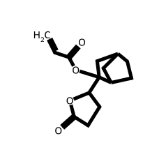 C=CC(=O)OC1(C2CCC(=O)O2)CC2CCC1C2